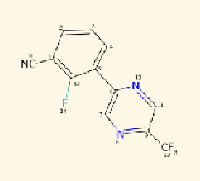 N#Cc1cccc(-c2cnc(C(F)(F)F)cn2)c1F